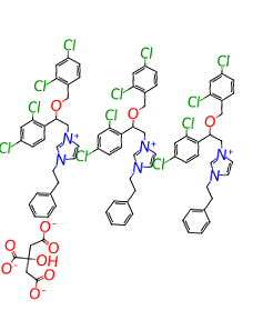 Clc1ccc(COC(C[n+]2ccn(CCc3ccccc3)c2)c2ccc(Cl)cc2Cl)c(Cl)c1.Clc1ccc(COC(C[n+]2ccn(CCc3ccccc3)c2)c2ccc(Cl)cc2Cl)c(Cl)c1.Clc1ccc(COC(C[n+]2ccn(CCc3ccccc3)c2)c2ccc(Cl)cc2Cl)c(Cl)c1.O=C([O-])CC(O)(CC(=O)[O-])C(=O)[O-]